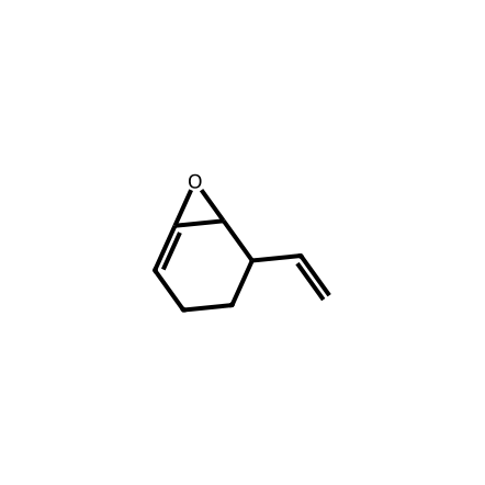 C=CC1CCC=C2OC21